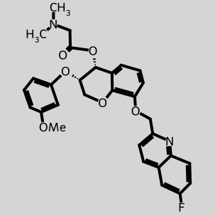 COc1cccc(O[C@H]2COc3c(OCc4ccc5cc(F)ccc5n4)cccc3[C@H]2OC(=O)CN(C)C)c1